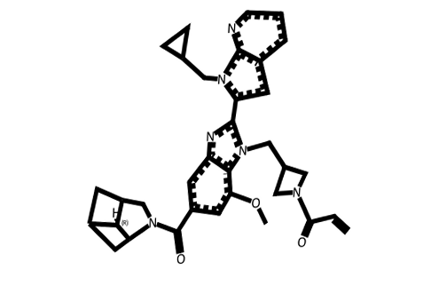 C=CC(=O)N1CC(Cn2c(-c3cc4cccnc4n3CC3CC3)nc3cc(C(=O)N4CC5CC6CC4[C@H]65)cc(OC)c32)C1